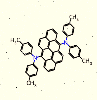 Cc1ccc(N(c2ccc(C)cc2)c2c3cccc4ccc5c(N(c6ccc(C)cc6)c6ccc(C)cc6)c6cccc7ccc2c(c76)c5c43)cc1